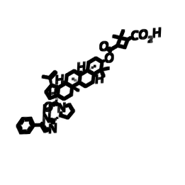 C=C(C)[C@@H]1CC[C@]2(C(=O)N3CCC[C@@H]3c3ncc(-c4ccccc4)[nH]3)CC[C@]3(C)[C@H](CC[C@@H]4[C@@]5(C)CC[C@H](OC(=O)C6CC(C(=O)O)C6(C)C)C(C)(C)[C@@H]5CC[C@]43C)[C@@H]12